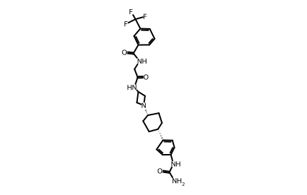 NC(=O)Nc1ccc([C@H]2CC[C@@H](N3CC(NC(=O)CNC(=O)c4cccc(C(F)(F)F)c4)C3)CC2)cc1